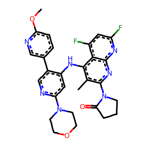 COc1ccc(-c2cnc(N3CCOCC3)cc2Nc2c(C)c(N3CCCC3=O)nc3nc(F)cc(F)c23)cn1